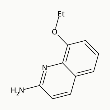 CCOc1cccc2ccc(N)nc12